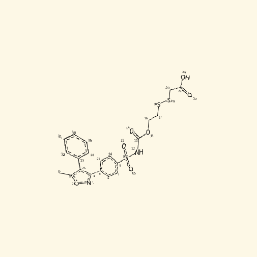 Cc1onc(-c2ccc(S(=O)(=O)NC(=O)OCCSSCC(=O)O)cc2)c1-c1ccccc1